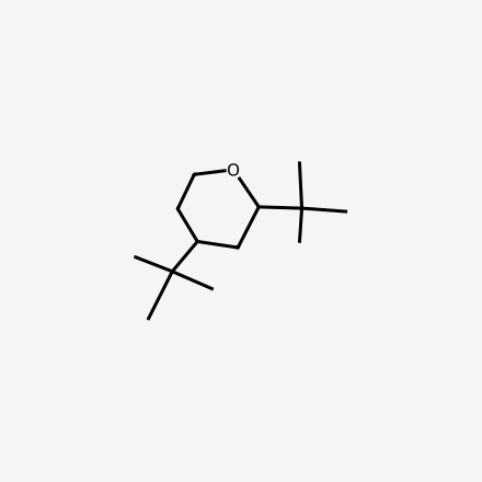 CC(C)(C)C1CCOC(C(C)(C)C)C1